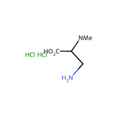 CNC(CN)C(=O)O.Cl.Cl